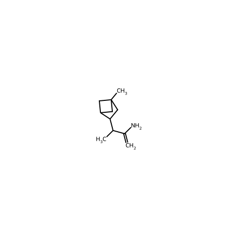 C=C(N)C(C)C1CC2(C)CC1C2